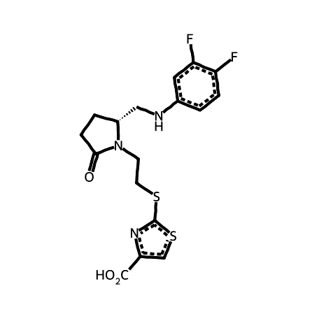 O=C(O)c1csc(SCCN2C(=O)CC[C@@H]2CNc2ccc(F)c(F)c2)n1